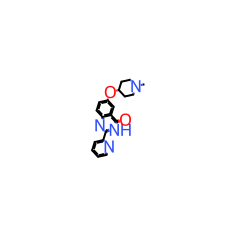 CN1CCC(Oc2ccc3nc(-c4ccccn4)[nH]c(=O)c3c2)CC1